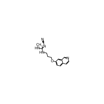 CNC(=NC#N)NCCCOc1ccc2ccncc2c1